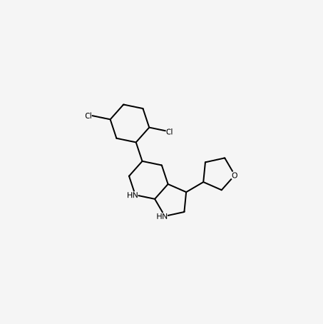 ClC1CCC(Cl)C(C2CNC3NCC(C4CCOC4)C3C2)C1